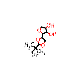 CC(C)CC(C)(C)C1OCC(C2OC[C@@H](O)C2O)O1